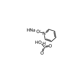 O=[SH](=O)O.[NaH].[O-][n+]1ccccc1